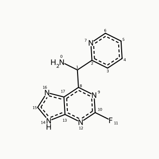 NC(c1ccccn1)c1nc(F)nc2[nH]cnc12